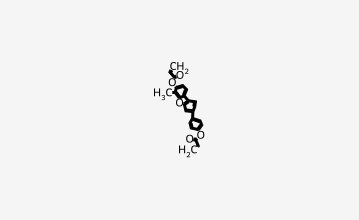 C=CC(=O)Oc1ccc(-c2ccc3c(c2)oc2c(C)c(OC(=O)C=C)ccc23)cc1